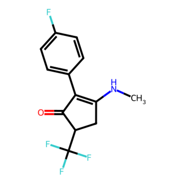 CNC1=C(c2ccc(F)cc2)C(=O)C(C(F)(F)F)C1